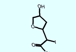 O=C(O)C(I)C1CC(O)CO1